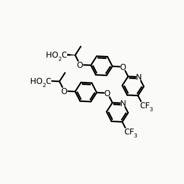 CC(Oc1ccc(Oc2ccc(C(F)(F)F)cn2)cc1)C(=O)O.C[C@@H](Oc1ccc(Oc2ccc(C(F)(F)F)cn2)cc1)C(=O)O